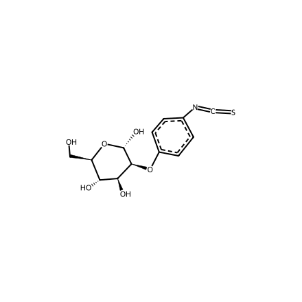 OC[C@H]1O[C@H](O)[C@@H](Oc2ccc(N=C=S)cc2)[C@@H](O)[C@@H]1O